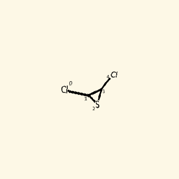 ClC1SC1Cl